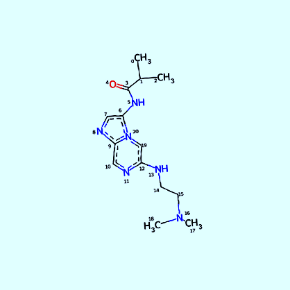 CC(C)C(=O)Nc1cnc2cnc(NCCN(C)C)cn12